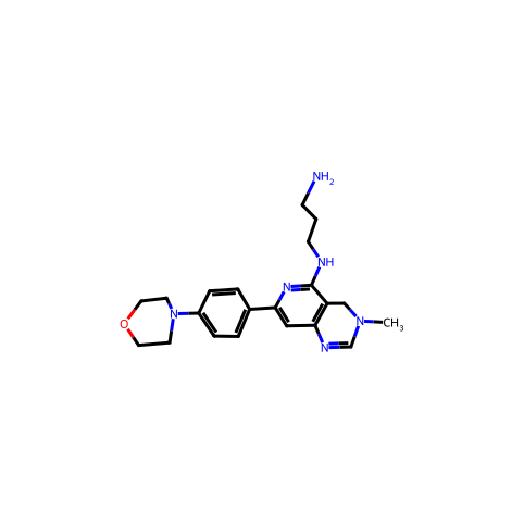 CN1C=Nc2cc(-c3ccc(N4CCOCC4)cc3)nc(NCCCN)c2C1